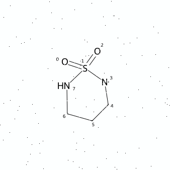 O=S1(=O)[N]CCCN1